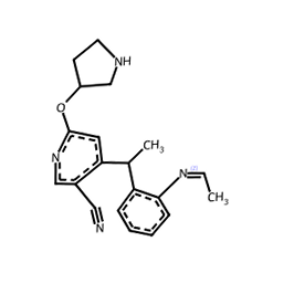 C/C=N\c1ccccc1C(C)c1cc(OC2CCNC2)ncc1C#N